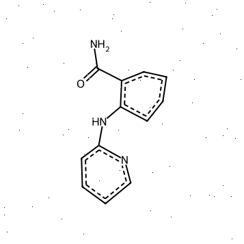 NC(=O)c1ccccc1Nc1ccccn1